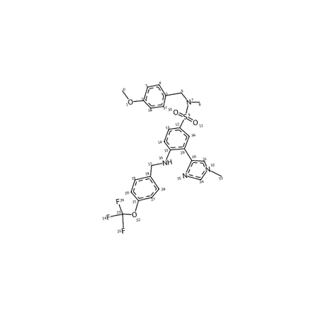 COc1ccc(CN(C)S(=O)(=O)c2ccc(NCc3ccc(OC(F)(F)F)cc3)c(-c3cn(C)cn3)c2)cc1